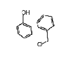 ClCc1ccccc1.Oc1ccccc1